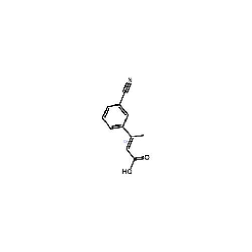 C/C(=C\C(=O)O)c1cccc(C#N)c1